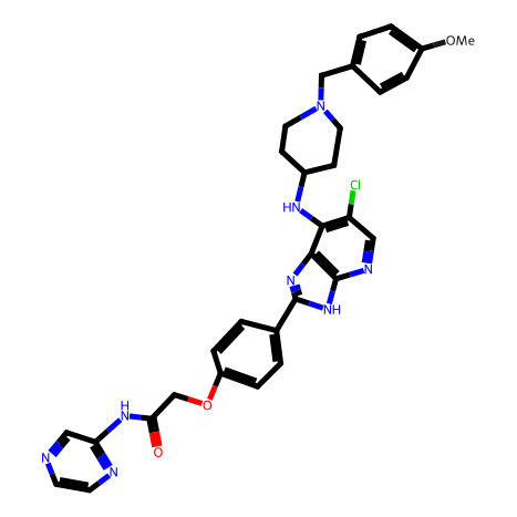 COc1ccc(CN2CCC(Nc3c(Cl)cnc4[nH]c(-c5ccc(OCC(=O)Nc6cnccn6)cc5)nc34)CC2)cc1